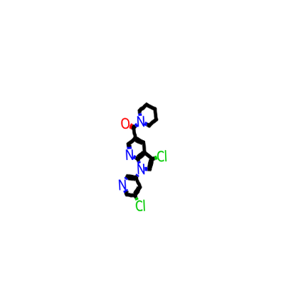 O=C(c1cnc2c(c1)c(Cl)cn2-c1cncc(Cl)c1)N1CCCCC1